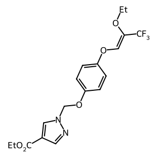 CCOC(=O)c1cnn(COc2ccc(O/C=C(\OCC)C(F)(F)F)cc2)c1